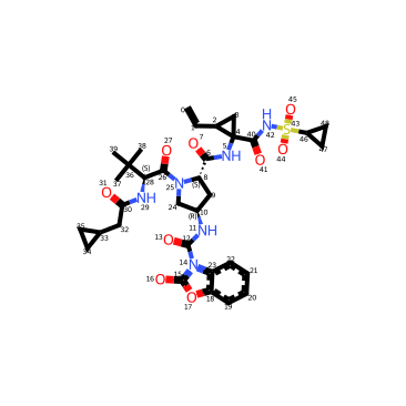 C=CC1CC1(NC(=O)[C@@H]1C[C@@H](NC(=O)n2c(=O)oc3ccccc32)CN1C(=O)[C@@H](NC(=O)CC1CC1)C(C)(C)C)C(=O)NS(=O)(=O)C1CC1